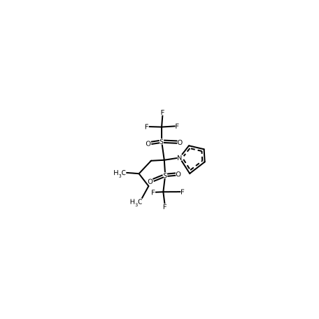 CCC(C)CC(n1cccc1)(S(=O)(=O)C(F)(F)F)S(=O)(=O)C(F)(F)F